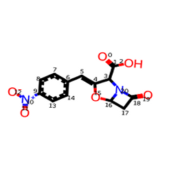 O=C(O)C1C(=Cc2ccc([N+](=O)[O-])cc2)OC2CC(=O)N21